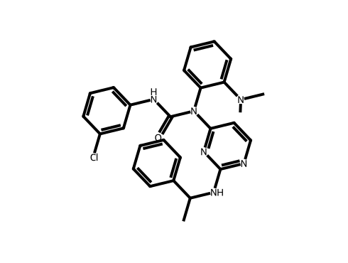 CC(Nc1nccc(N(C(=O)Nc2cccc(Cl)c2)c2ccccc2N(C)C)n1)c1ccccc1